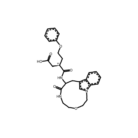 O=C(O)C[C@@H](CCOc1ccccc1)C(=O)NC1Cc2cn(c3ccccc23)CCOCCNC1=O